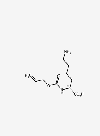 C=CCOC(=O)N[C@H](CCCCN)C(=O)O